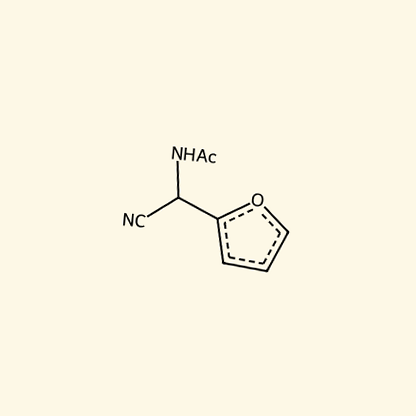 CC(=O)NC(C#N)c1ccco1